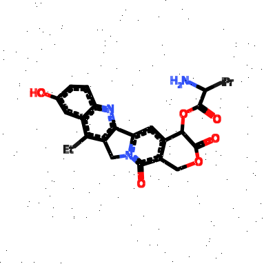 CCc1c2c(nc3ccc(O)cc13)-c1cc3c(c(=O)n1C2)COC(=O)C3OC(=O)C(N)C(C)C